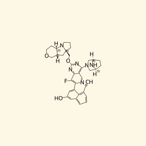 C#Cc1cccc2cc(O)cc(-c3ncc4c(N5C[C@H]6CC[C@@H](C5)N6)nc(OC[C@]56CCCN5[C@H]5CCOC[C@H]5C6)nc4c3F)c12